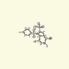 Cc1ccc(S(=O)(=O)n2c(S(=O)(=O)Cl)cc3c(Br)c(C)cc(F)c32)cc1